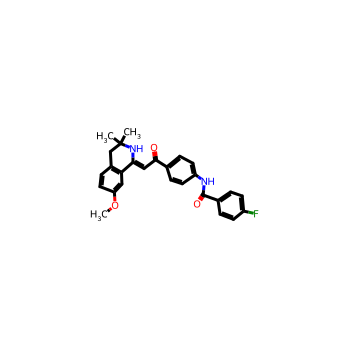 COc1ccc2c(c1)/C(=C/C(=O)c1ccc(NC(=O)c3ccc(F)cc3)cc1)NC(C)(C)C2